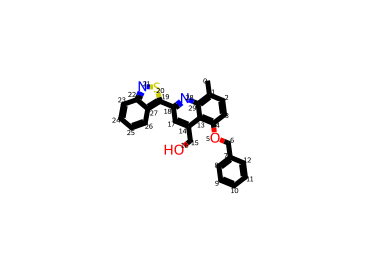 Cc1ccc(OCc2ccccc2)c2c(CO)cc(-c3snc4ccccc34)nc12